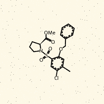 COC(=O)[C@@H]1CCCN1S(=O)(=O)c1cc(Cl)c(C)cc1OCc1ccccc1